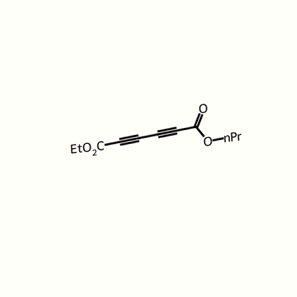 CCCOC(=O)C#CC#CC(=O)OCC